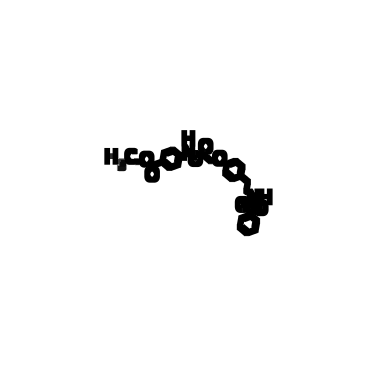 CCOC(=O)c1ccc(NOC(=O)COc2ccc(CCNS(=O)(=O)c3ccccc3)cc2)cc1